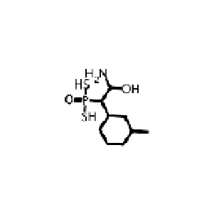 CC1CCCC(C(C(N)O)P(=O)(S)S)C1